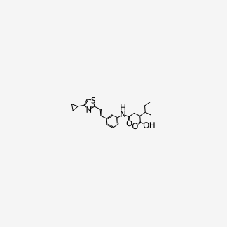 CCC(C)C(CC(=O)Nc1cccc(/C=C/c2nc(C3CC3)cs2)c1)C(=O)O